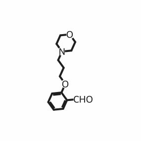 O=Cc1ccccc1OCCCN1CCOCC1